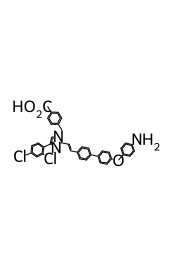 Nc1ccc(Oc2ccc(-c3ccc(C=Cc4nc(-c5ccc(Cl)cc5Cl)cn4Cc4ccc(C(=O)O)cc4)cc3)cc2)cc1